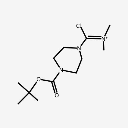 C[N+](C)=C(Cl)N1CCN(C(=O)OC(C)(C)C)CC1